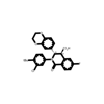 CC(C)(C)c1ccc(N2C(=O)c3ccc(F)cc3[C@H](C(=O)O)[C@H]2c2ccc3c(c2)OCCO3)cc1Cl